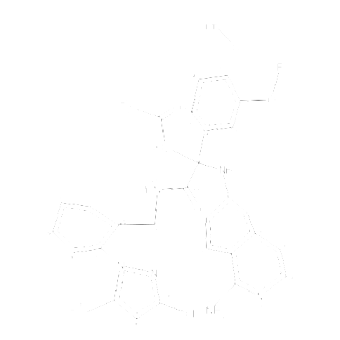 CCOc1cc(C(Nc2ccc3c(N)nccc3c2)(OC(=O)C(F)(F)F)C(=O)NCc2ccccc2-n2nc(C(F)(F)F)cc2C(F)(F)F)ccc1OC(C)C